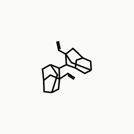 C=CC12CC3CC(CC(C3)C1C1C3CC4CC(C3)CC1(C=C)C4)C2